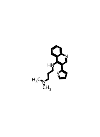 CN(C)CCCNc1c(-c2cccs2)cnc2ccccc12